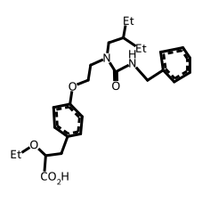 CCOC(Cc1ccc(OCCN(CC(CC)CC)C(=O)NCc2ccccc2)cc1)C(=O)O